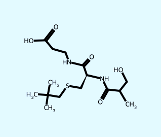 CC(CO)C(=O)N[C@@H](CSCC(C)(C)C)C(=O)NCCC(=O)O